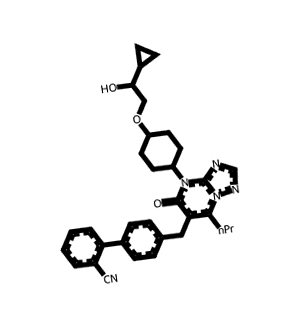 CCCc1c(Cc2ccc(-c3ccccc3C#N)cc2)c(=O)n(C2CCC(OCC(O)C3CC3)CC2)c2ncnn12